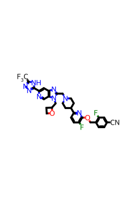 N#Cc1ccc(COc2nc(C3CCN(Cc4nc5cc(-c6nnc(C(F)(F)F)[nH]6)ncc5n4CC4CCO4)CC3)ccc2F)c(F)c1